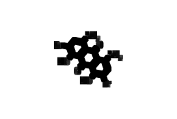 Nc1cc(Br)c(O)c2c1C(=O)c1c(N)cc(Br)c(O)c1C2=O